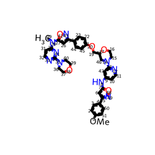 COc1ccc(-c2cc(Nc3ccnc(N4CCOC(COc5ccc(-c6cc(N(C)c7ccnc(N8CCOCC8)n7)on6)cc5)C4)c3)on2)cc1